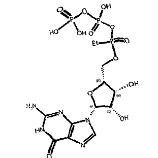 CCP(=O)(OC[C@H]1O[C@@H](n2cnc3c(=O)[nH]c(N)nc32)[C@@H](O)[C@H]1O)OP(=O)(O)OP(=O)(O)O